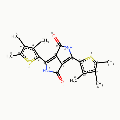 Cc1sc(C2=C3C(=O)NC(c4sc(C)c(C)c4C)=C3C(=O)N2)c(C)c1C